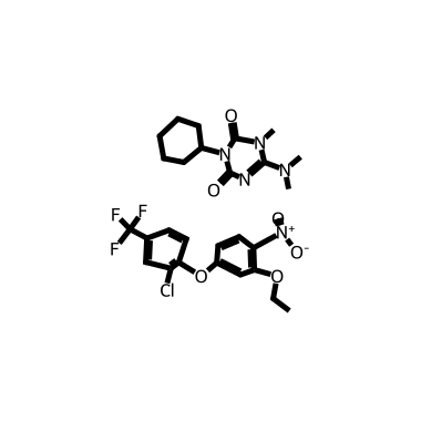 CCOc1cc(Oc2ccc(C(F)(F)F)cc2Cl)ccc1[N+](=O)[O-].CN(C)c1nc(=O)n(C2CCCCC2)c(=O)n1C